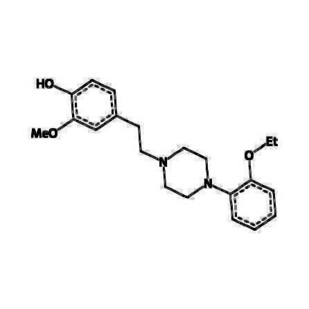 CCOc1ccccc1N1CCN(CCc2ccc(O)c(OC)c2)CC1